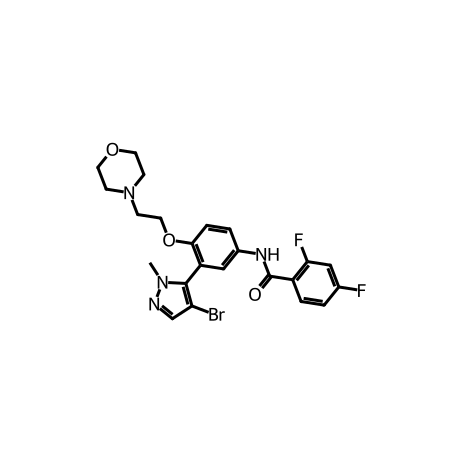 Cn1ncc(Br)c1-c1cc(NC(=O)c2ccc(F)cc2F)ccc1OCCN1CCOCC1